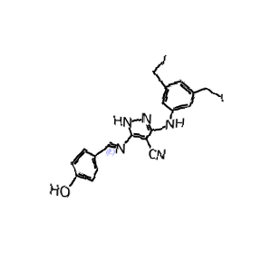 N#Cc1c(Nc2cc(CI)cc(CI)c2)n[nH]c1/N=C/c1ccc(O)cc1